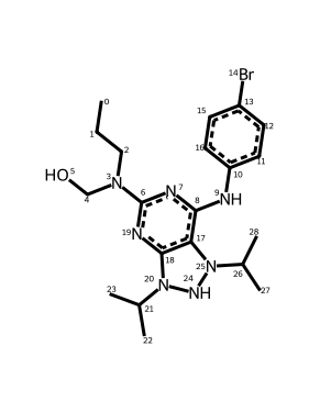 CCCN(CO)c1nc(Nc2ccc(Br)cc2)c2c(n1)N(C(C)C)NN2C(C)C